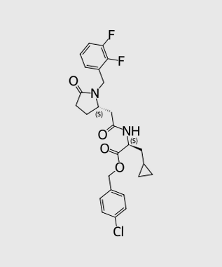 O=C(C[C@@H]1CCC(=O)N1Cc1cccc(F)c1F)N[C@@H](CC1CC1)C(=O)OCc1ccc(Cl)cc1